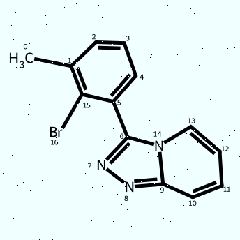 Cc1cccc(-c2nnc3ccccn23)c1Br